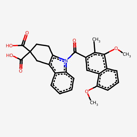 COc1cccc2c(OC)c(C)c(C(=O)n3c4c(c5ccccc53)CC(C(=O)O)(C(=O)O)CC4)cc12